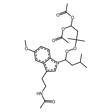 COc1ccc2c(c1)c(CCNC(C)=O)cn2C(CC(C)C)OOC(C)(C)CC(OC(C)=O)OC(C)=O